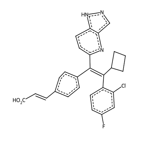 O=C(O)C=Cc1ccc(C(=C(c2ccc(F)cc2Cl)C2CCC2)c2ccc3[nH]ncc3n2)cc1